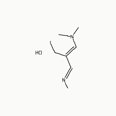 CN=CC(=CN(C)C)CI.Cl